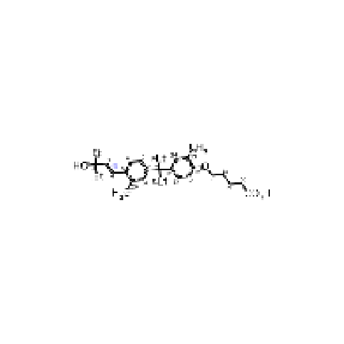 CCC(O)(/C=C/c1ccc(C(CC)(CC)c2ccc(OCCCCC(=O)O)c(C)c2)cc1C)CC